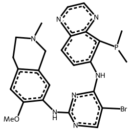 COc1cc2c(cc1Nc1ncc(Br)c(Nc3ccc4nccnc4c3P(C)C)n1)CN(C)CC2